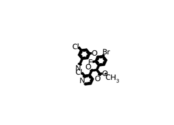 COC(=O)C(C(=O)c1cccnc1Cl)c1ccc(Br)c(Oc2cc(Cl)cc(C#N)c2)c1F